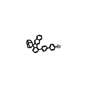 Brc1ccc(-c2ccc(-c3cccc4c3-c3cc5ccccc5cc3C43C4CC5CC(C4)CC3C5)cc2)cc1